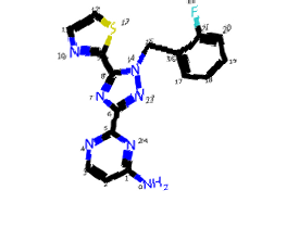 Nc1ccnc(-c2nc(-c3nccs3)n(Cc3ccccc3F)n2)n1